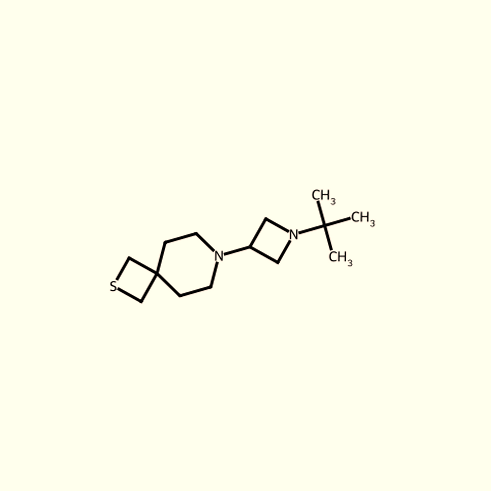 CC(C)(C)N1CC(N2CCC3(CC2)CSC3)C1